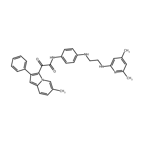 Cc1cc(C)nc(NCCNc2ccc(NC(=O)C(=O)c3c(-c4ccccc4)cc4ccc(C)cn34)cc2)c1